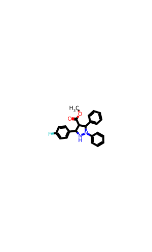 COC(=O)C1C(c2ccc(F)cc2)NN(c2ccccc2)C1c1ccccc1